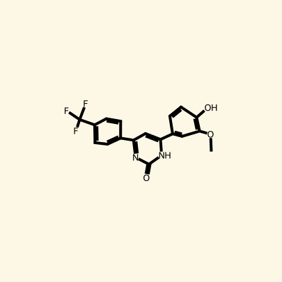 COc1cc(-c2cc(-c3ccc(C(F)(F)F)cc3)nc(=O)[nH]2)ccc1O